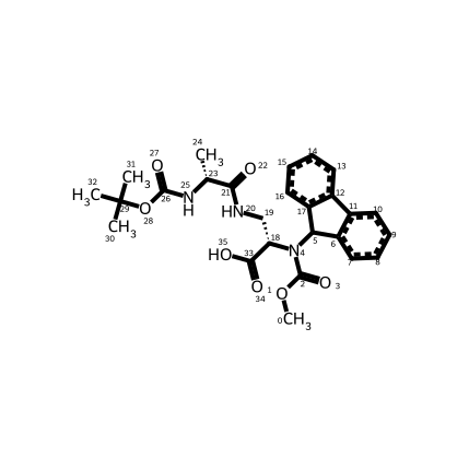 COC(=O)N(C1c2ccccc2-c2ccccc21)[C@@H](CNC(=O)[C@@H](C)NC(=O)OC(C)(C)C)C(=O)O